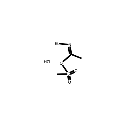 CCN=C(C)OS(C)(=O)=O.Cl